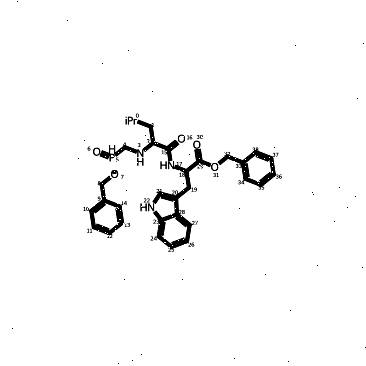 CC(C)CC(NC[PH](=O)OCc1ccccc1)C(=O)NC(Cc1c[nH]c2ccccc12)C(=O)OCc1ccccc1